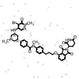 CN1C[C@H](Nc2cnn(C)c(=O)c2Br)C[C@H](c2ccc(C(=O)N(C)c3ccc(CCCOc4cccc5c4C(=O)N(C4CCC(=O)NC4=O)C5=O)cc3)cc2)C1